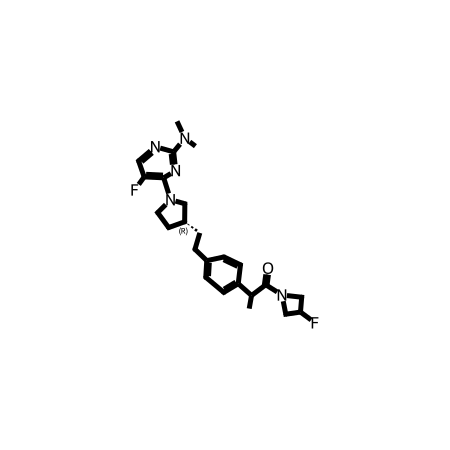 CC(C(=O)N1CC(F)C1)c1ccc(CC[C@@H]2CCN(c3nc(N(C)C)ncc3F)C2)cc1